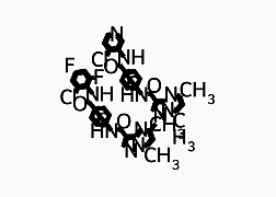 Cc1cc(C)n2ncc(C(=O)NC34CCC(C(=O)Nc5c(F)cc(F)cc5Cl)(CC3)CC4)c2n1.Cc1cc(C)n2ncc(C(=O)NC34CCC(C(=O)Nc5cnccc5Cl)(CC3)CC4)c2n1